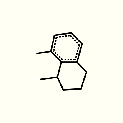 Cc1cccc2c1C(C)CCC2